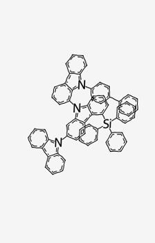 c1ccc(-c2ccc(-n3c4ccccc4c4cccc(-n5c6cc(-n7c8ccccc8c8ccccc87)ccc6c6c([Si](c7ccccc7)(c7ccccc7)c7ccccc7)cccc65)c43)cc2)cc1